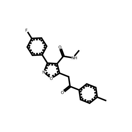 CNC(=O)c1c(-c2ccc(F)cc2)noc1CC(=O)c1ccc(C)cc1